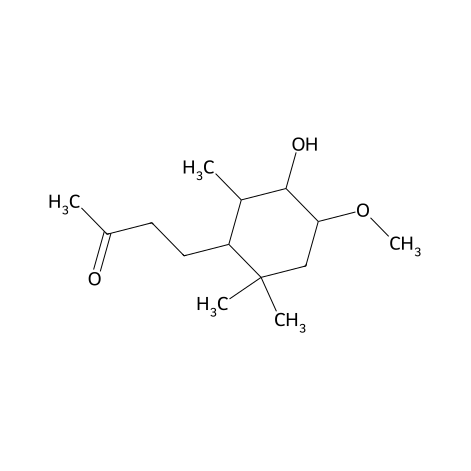 COC1CC(C)(C)C(CCC(C)=O)C(C)C1O